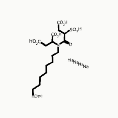 CCCCCCCCCCCCCCCCCCN(C(=O)C(CC(=O)O)S(=O)(=O)O)C(CC(=O)O)C(=O)O.[Na].[Na].[Na].[Na]